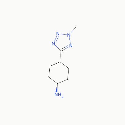 Cn1nnc([C@H]2CC[C@H](N)CC2)n1